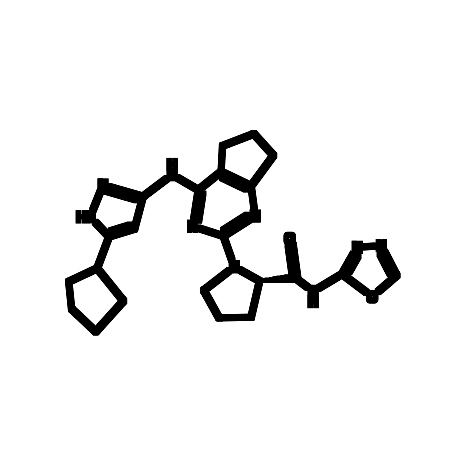 O=C(Nc1nnco1)[C@@H]1CCCN1c1nc2c(c(Nc3cc(C4CCCC4)[nH]n3)n1)CCC2